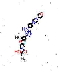 C[C@H](O)C(=O)N1CC[C@H](Oc2ccc(-c3ncnc(Nc4ccc(N5CCN(C6CCOCC6)CC5)cc4)n3)cc2C#N)[C@@H](F)C1